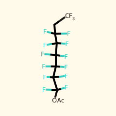 CC(=O)OC(F)(F)C(F)(F)C(F)(F)C(F)(F)C(F)(F)C(F)(F)CC(F)(F)F